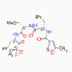 COC[C@H](NC(=O)[C@H](CC(C)C)NC(=O)c1cc(C)on1)C(=O)N[C@@H](CC(C)C)C(=O)[C@@]1(C)CO1